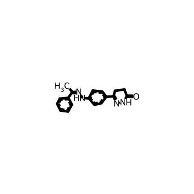 CC(=NNc1ccc(C2=NNC(=O)CC2)cc1)c1ccccc1